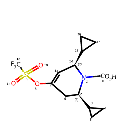 O=C(O)N1[C@@H](C2CC2)CC(OS(=O)(=O)C(F)(F)F)=C[C@H]1C1CC1